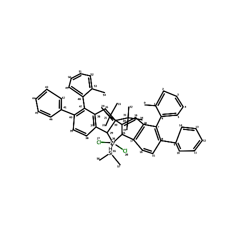 Cc1ccccc1-c1c(-c2ccccc2)ccc2c1C=C(C(C)(C)C)[CH]2[Zr]([Cl])([Cl])([CH]1C(C(C)(C)C)=Cc2c1ccc(-c1ccccc1)c2-c1ccccc1C)[SiH](C)C